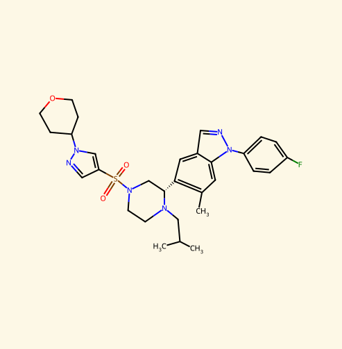 Cc1cc2c(cnn2-c2ccc(F)cc2)cc1[C@H]1CN(S(=O)(=O)c2cnn(C3CCOCC3)c2)CCN1CC(C)C